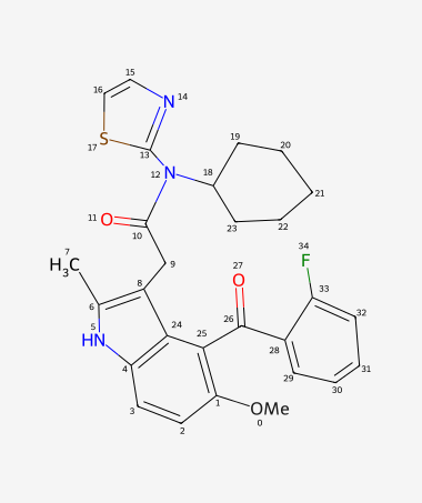 COc1ccc2[nH]c(C)c(CC(=O)N(c3nccs3)C3CCCCC3)c2c1C(=O)c1ccccc1F